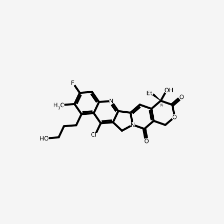 CC[C@@]1(O)C(=O)OCc2c1cc1n(c2=O)Cc2c-1nc1cc(F)c(C)c(CCCO)c1c2Cl